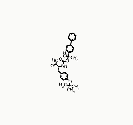 CC(C)(C)Oc1ccc(C[C@H](NC(=O)OC(C)(C)c2ccc(-c3ccccc3)cc2)C(=O)O)cc1